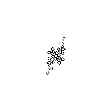 Cc1ccc(Oc2cc3c4c(cc(Oc5ccc(C)cc5)c5c6c(Oc7ccc(C)cc7)cc7c8c(cc(Oc9ccc(C)cc9)c(c2c45)c86)C(=O)N(C(CC(C)C)C(=O)OCCNCC2CO2)C7=O)C(=O)N(C(CC(C)C)C(=O)OCCNCC2CO2)C3=O)cc1